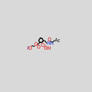 CC(=O)CCC(=O)N[C@H]1Cc2cccc(C(=O)OCCOI)c2OB1O